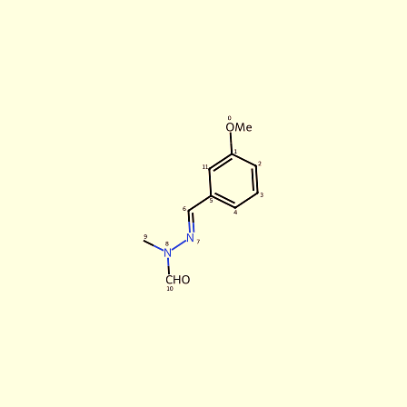 COc1cccc(/C=N/N(C)C=O)c1